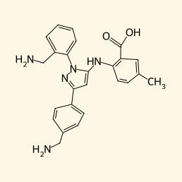 Cc1ccc(Nc2cc(-c3ccc(CN)cc3)nn2-c2ccccc2CN)c(C(=O)O)c1